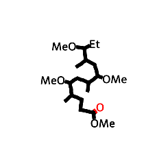 CCC(OC)C(C)CC(OC)C(C)CC(OC)C(C)CCC(=O)OC